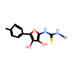 CCNC(=S)Nc1oc(-c2ccc(C)cc2)c(O)c1O